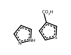 O=C(O)c1ccsc1.c1cn[nH]c1